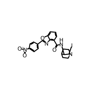 O=C(NC1C2CCN(CC2)C1I)c1cccc2oc(-c3ccc([N+](=O)[O-])cc3)nc12